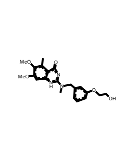 COc1cc2[nH]c(N(C)Cc3cccc(OCCO)c3)nc(=O)c2c(C)c1OC